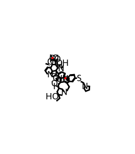 CC[C@]1(O)C[C@H]2CN(CCc3c([nH]c4ccc(SCCN5CCCC5)cc34)[C@@](C(=O)OC)(c3cc4c(cc3OC)N(C)[C@H]3[C@@](O)(C(=O)OC)[C@H](OC(C)=O)[C@]5(CC)C=CCN6CC[C@]43[C@@H]65)C2)C1